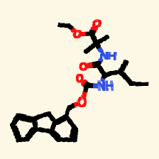 CCOC(=O)C(C)(C)NC(=O)C(NC(=O)OCc1cccc2c1Cc1ccccc1-2)C(C)CC